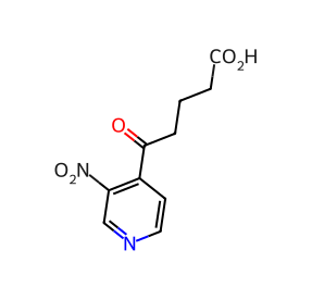 O=C(O)CCCC(=O)c1ccncc1[N+](=O)[O-]